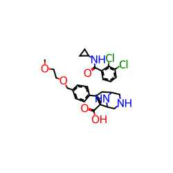 COCCOCc1ccc(C2=C(C(=O)O)C3CNCC(C2)N3)cc1.O=C(NC1CC1)c1cccc(Cl)c1Cl